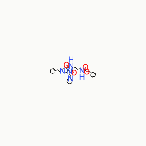 O=C(NCCC[C@@H]1NC(=O)C2(CCN(CCc3ccccc3)CC2)N(CCN2CCCCC2)C1=O)OCc1ccccc1